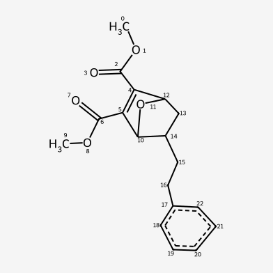 COC(=O)C1=C(C(=O)OC)C2OC1CC2CCc1ccccc1